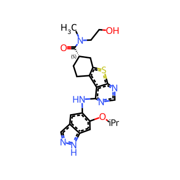 CC(C)Oc1cc2[nH]ncc2cc1Nc1ncnc2sc3c(c12)CC[C@H](C(=O)N(C)CCO)C3